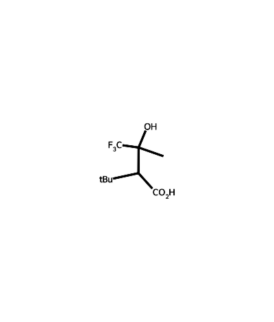 CC(C)(C)C(C(=O)O)C(C)(O)C(F)(F)F